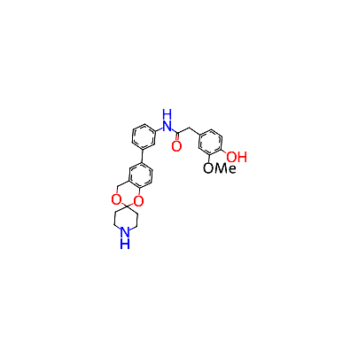 COc1cc(CC(=O)Nc2cccc(-c3ccc4c(c3)COC3(CCNCC3)O4)c2)ccc1O